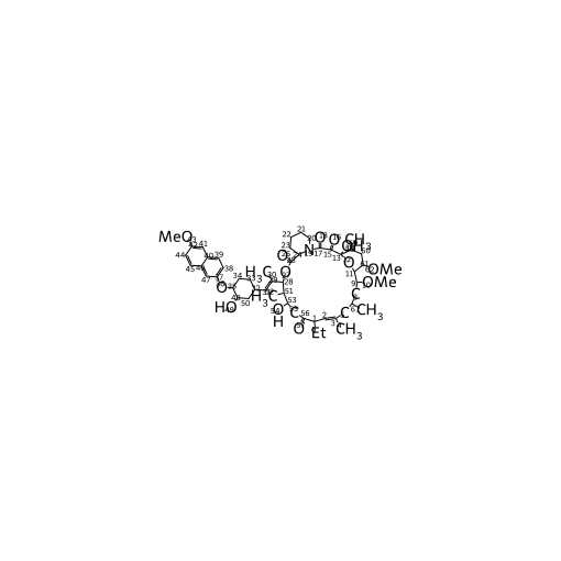 CCC1/C=C(\C)CC(C)CC(OC)C2OC(O)(C(=O)C(=O)N3CCCCC3C(=O)OC(C(C)=CC3CCC(Oc4ccc5cc(OC)ccc5c4)C(O)C3)C(C)C(O)CC1=O)C(C)CC2OC